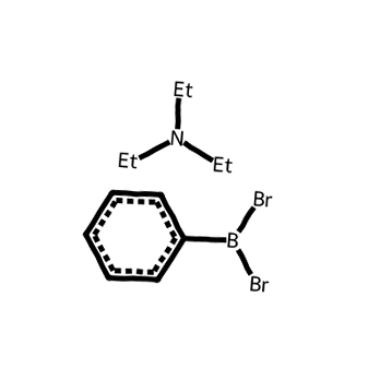 BrB(Br)c1ccccc1.CCN(CC)CC